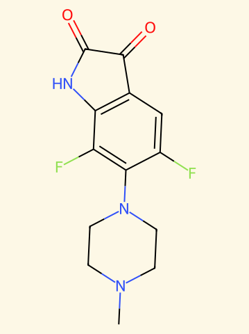 CN1CCN(c2c(F)cc3c(c2F)NC(=O)C3=O)CC1